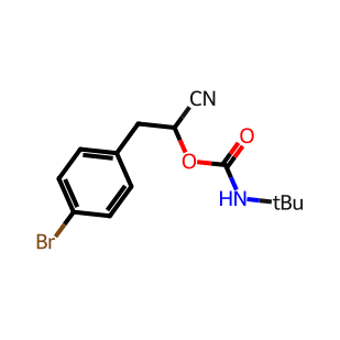 CC(C)(C)NC(=O)OC(C#N)Cc1ccc(Br)cc1